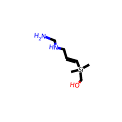 C[Si](C)(C=CCNCN)CO